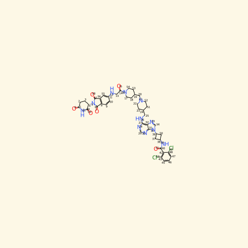 O=C1CC[C@H](N2C(=O)c3ccc(NCC(=O)N4CCC(CN5CCC(CNc6ncnc7c6ncn7C6CC(NC(=O)c7c(Cl)cccc7Cl)C6)CC5)CC4)cc3C2=O)C(=O)N1